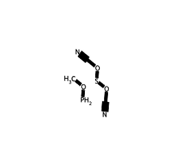 COP.N#COSOC#N